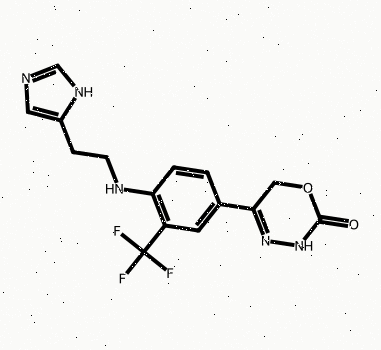 O=C1NN=C(c2ccc(NCCc3cnc[nH]3)c(C(F)(F)F)c2)CO1